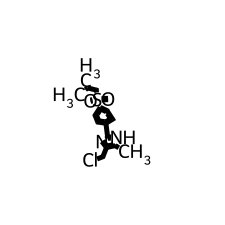 Cc1[nH]c(-c2ccc(S(=O)(=O)CC(C)C)cc2)nc1CCl